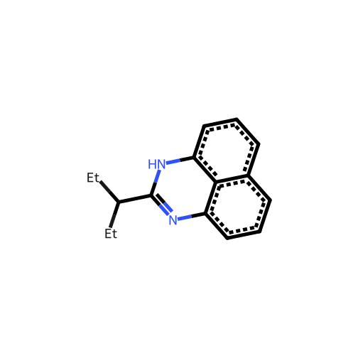 CCC(CC)C1=Nc2cccc3cccc(c23)N1